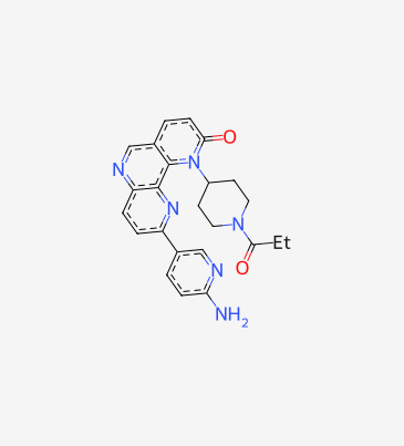 CCC(=O)N1CCC(n2c(=O)ccc3cnc4ccc(-c5ccc(N)nc5)nc4c32)CC1